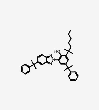 CCCCCC(C)(C)c1cc(C(C)(C)c2ccccc2)cc(-n2nc3ccc(C(C)(C)c4ccccc4)cc3n2)c1O